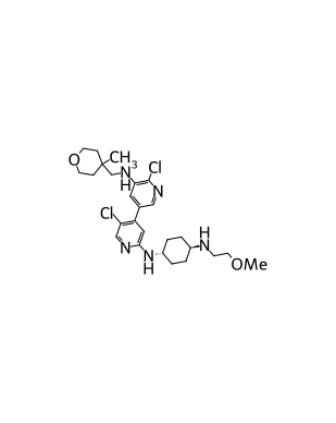 COCCN[C@H]1CC[C@H](Nc2cc(-c3cnc(Cl)c(NCC4(C)CCOCC4)c3)c(Cl)cn2)CC1